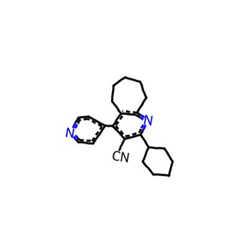 N#Cc1c(C2CCCCC2)nc2c(c1-c1ccncc1)CCCCC2